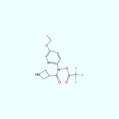 CCOc1ccc(N(OC(=O)C(F)(F)F)C(=O)C2CNC2)nc1